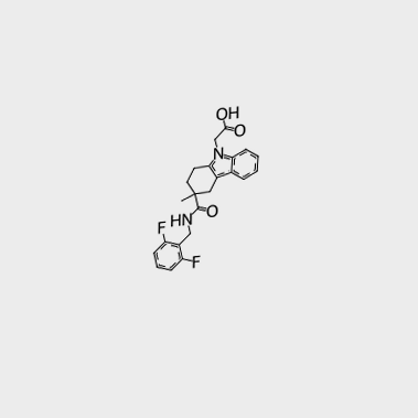 CC1(C(=O)NCc2c(F)cccc2F)CCc2c(c3ccccc3n2CC(=O)O)C1